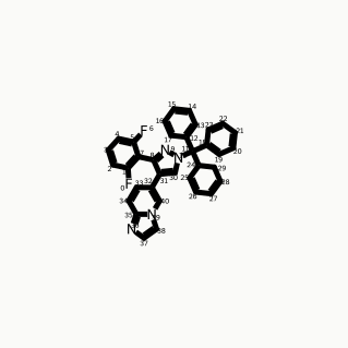 Fc1cccc(F)c1-c1nn(C(c2ccccc2)(c2ccccc2)C2C=CC=CC2)cc1-c1ccc2nccn2c1